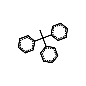 CC(c1[c]cc[c]c1)(c1[c]cc[c]c1)c1ccccc1